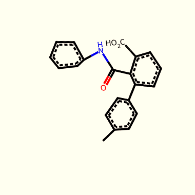 Cc1ccc(-c2cccc(C(=O)O)c2C(=O)Nc2ccccc2)cc1